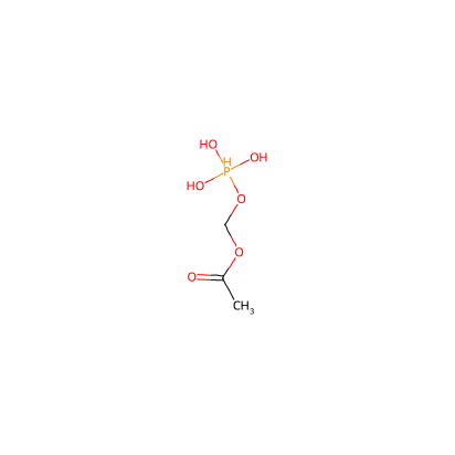 CC(=O)OCO[PH](O)(O)O